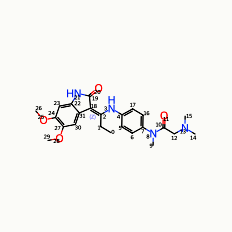 CC/C(Nc1ccc(N(C)C(=O)CN(C)C)cc1)=C1/C(=O)Nc2cc(OC)c(OC)cc21